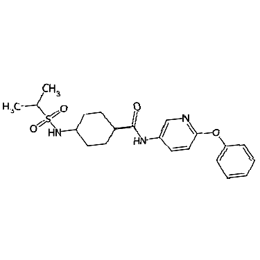 CC(C)S(=O)(=O)NC1CCC(C(=O)Nc2ccc(Oc3ccccc3)nc2)CC1